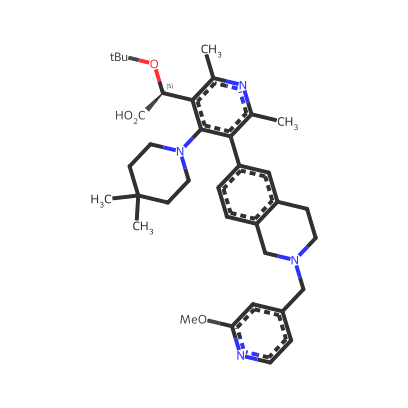 COc1cc(CN2CCc3cc(-c4c(C)nc(C)c([C@H](OC(C)(C)C)C(=O)O)c4N4CCC(C)(C)CC4)ccc3C2)ccn1